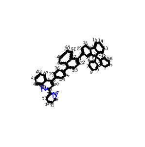 c1ccc(C2(c3ccccc3)c3ccccc3-c3ccc(-c4ccc(-c5ccc(-c6cc(-c7ccccn7)nc7ccccc67)cc5)c5ccccc45)cc32)cc1